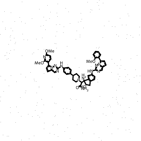 COc1ccc(-c2ccc3cnc(Nc4ccc(C5CCN(C(C(N)=O)C6(N)c7cc(Nc8ncc9ccc(-c%10ccccc%10OC)n9n8)ccc7CC6O)CC5)cc4)nn23)c(OC)n1